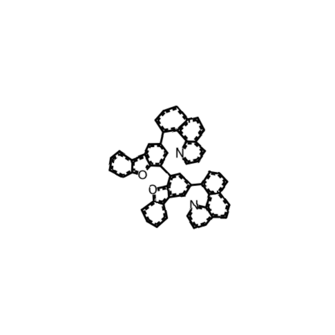 c1cnc2c(c1)ccc1cccc(-c3cc(-c4cc(-c5cccc6ccc7cccnc7c56)cc5c4oc4ccccc45)c4oc5ccccc5c4c3)c12